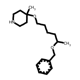 CC(CCCCOC1(C)CCNCC1)OCc1ccccc1